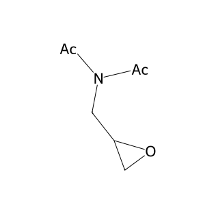 CC(=O)N(CC1CO1)C(C)=O